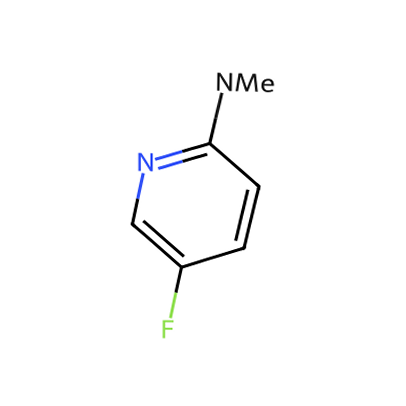 [CH2]Nc1ccc(F)cn1